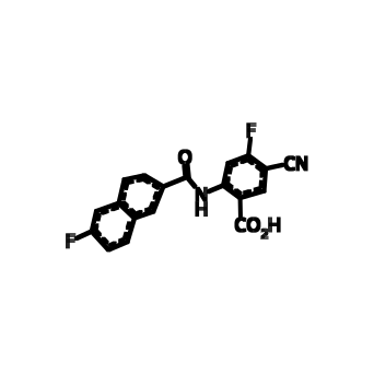 N#Cc1cc(C(=O)O)c(NC(=O)c2ccc3cc(F)ccc3c2)cc1F